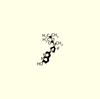 CN(C(=O)OC(C)(C)C)[C@@H]1CN(c2cnc3nc(O)ccc3c2)C[C@H]1F